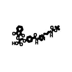 CC(C)(C)OC(=O)NCCCn1cc(NC(=O)c2ccc(OCC(ON3C(=O)c4ccccc4C3=O)C(=O)O)cc2)cn1